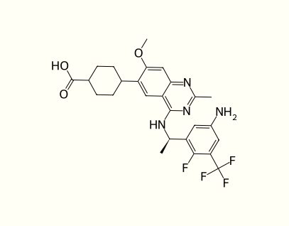 COc1cc2nc(C)nc(N[C@H](C)c3cc(N)cc(C(F)(F)F)c3F)c2cc1C1CCC(C(=O)O)CC1